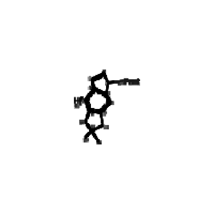 CCCCC[C]1C=Cc2cc3c(cc21)CC(C)(C)C3.[Hf]